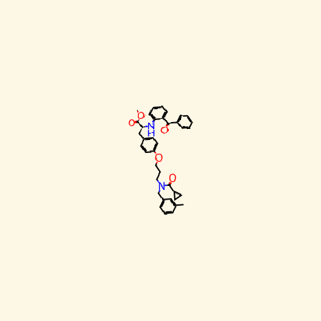 COC(=O)[C@H](Cc1ccc(OCCCN(Cc2cccc(C)c2)C(=O)C2CC2)cc1)Nc1ccccc1C(=O)c1ccccc1